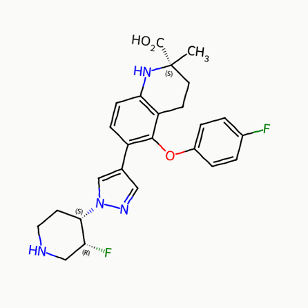 C[C@@]1(C(=O)O)CCc2c(ccc(-c3cnn([C@H]4CCNC[C@H]4F)c3)c2Oc2ccc(F)cc2)N1